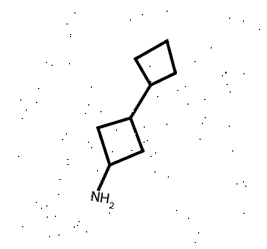 NC1CC(C2CCC2)C1